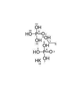 CCO.O=P(O)(O)O.O=P(O)(O)O.[KH]